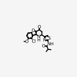 COc1ccc2oc3c(c2c1Cl)NC(c1csc(NC(=O)C(C)C)n1)CC3=O